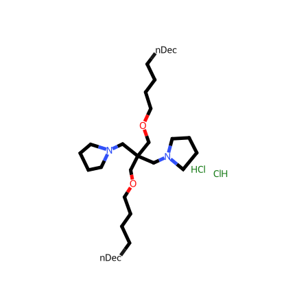 CCCCCCCCCCCCCCOCC(COCCCCCCCCCCCCCC)(CN1CCCC1)CN1CCCC1.Cl.Cl